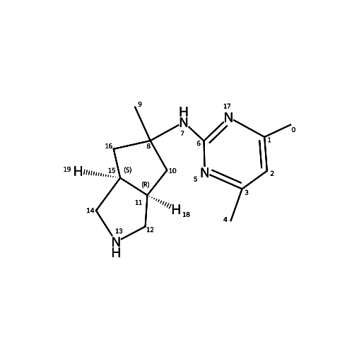 Cc1cc(C)nc(NC2(C)C[C@H]3CNC[C@H]3C2)n1